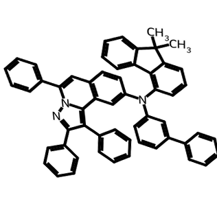 CC1(C)c2ccccc2-c2c(N(c3cccc(-c4ccccc4)c3)c3ccc4cc(-c5ccccc5)n5nc(-c6ccccc6)c(-c6ccccc6)c5c4c3)cccc21